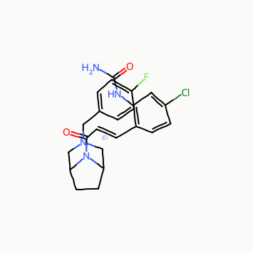 NC(=O)Nc1cc(Cl)ccc1/C=C/C(=O)N1C2CCC1CN(Cc1ccc(F)cc1)C2